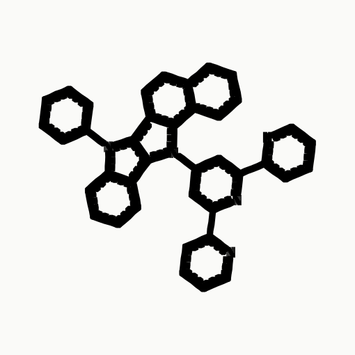 c1ccc(-n2c3ccccc3c3c2c2ccc4ccccc4c2n3-c2cc(-c3ccccn3)nc(-c3ccccn3)c2)cc1